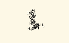 CCC(CN(CC)c1ccccc1)NC(=O)c1ccc2[nH]c(-c3cc(N)nc4[nH]c(C)nc34)cc2c1